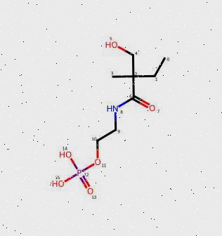 CCC(C)(CO)C(=O)NCCOP(=O)(O)O